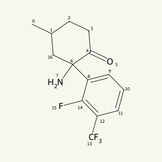 CC1CCC(=O)C(N)(c2cccc(C(F)(F)F)c2F)C1